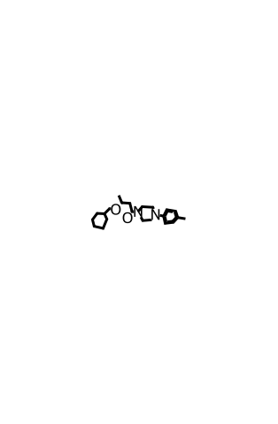 Cc1ccc(N2CCN(C(=O)CC(C)OCC3CCCCC3)CC2)cc1